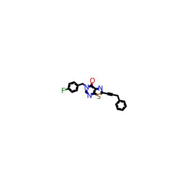 O=c1c2nc(C#CCc3ccccc3)sc2ncn1Cc1ccc(F)cc1